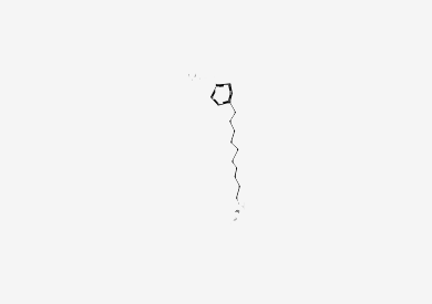 COc1ccc(CCCCCCCCCCN=C=S)cc1